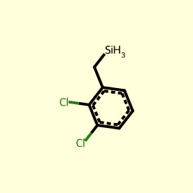 [SiH3]Cc1cccc(Cl)c1Cl